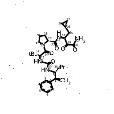 C=C(c1ccccc1)[C@@H](NC(=O)N[C@H](C(=O)N1CCC[C@H]1C(=O)NC(CC1CC1)C(=O)C(N)=O)C(C)(C)C)C(C)C